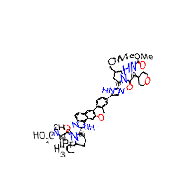 COCC1C[C@@H](c2ncc(-c3ccc4c(c3)COc3cc5c(ccc6nc([C@@H]7CCC(C)N7C(=O)[C@H](C(C)C)N(C)C(=O)O)[nH]c65)cc3-4)[nH]2)N(C(=O)[C@@H](NC(=O)OC)C2CCOCC2)C1